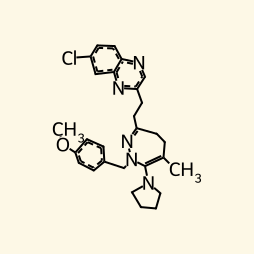 COc1ccc(CN2N=C(CCc3cnc4ccc(Cl)cc4n3)CCC(C)=C2N2CCCC2)cc1